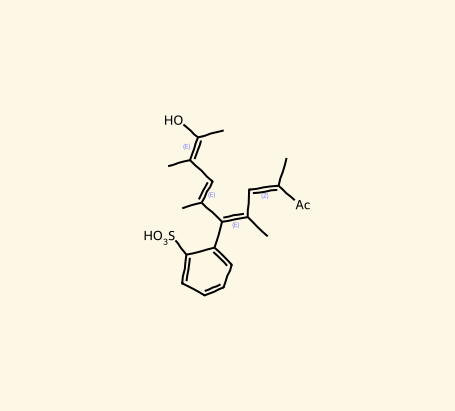 CC(=O)\C(C)=C/C(C)=C(\C(C)=C\C(C)=C(/C)O)c1ccccc1S(=O)(=O)O